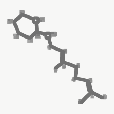 CC(C)=CCC/C(C)=C/COC1CCCCO1